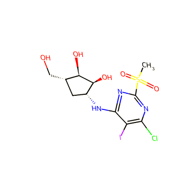 CS(=O)(=O)c1nc(Cl)c(I)c(N[C@@H]2C[C@H](CO)[C@@H](O)[C@H]2O)n1